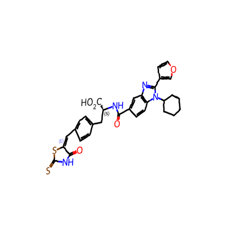 O=C1NC(=S)S/C1=C/c1ccc(C[C@H](NC(=O)c2ccc3c(c2)nc(-c2ccoc2)n3C2CCCCC2)C(=O)O)cc1